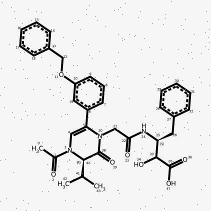 CC(=O)N1C=C(c2cccc(OCc3ccccc3)c2)N(CC(=O)N[C@@H](Cc2ccccc2)C(O)C(=O)O)C(=O)[C@H]1C(C)C